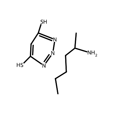 CCCCC(C)N.Sc1cc(S)nnn1